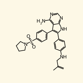 C=C(C)CNc1ccc(-c2[nH]c3ncnc(N)c3c2-c2ccc(S(=O)(=O)N3CCCC3)cc2)cc1